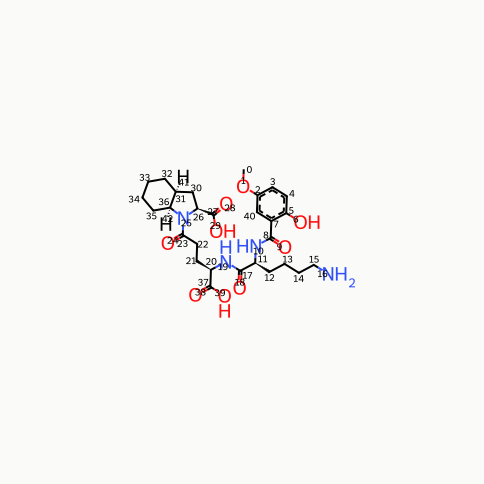 COc1ccc(O)c(C(=O)N[C@@H](CCCCN)C(=O)N[C@H](CCC(=O)N2[C@H](C(=O)O)C[C@@H]3CCCC[C@@H]32)C(=O)O)c1